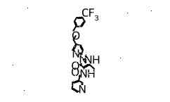 Cc1[nH]n(-c2ccc(COCc3ccc(C(F)(F)F)cc3)cn2)c(=O)c1NC(=O)c1cccnc1